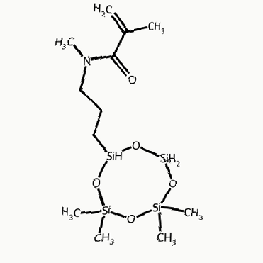 C=C(C)C(=O)N(C)CCC[SiH]1O[SiH2]O[Si](C)(C)O[Si](C)(C)O1